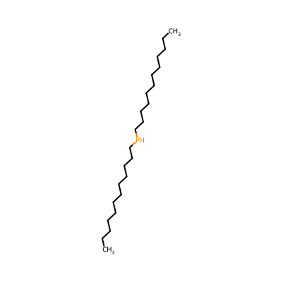 CCCCCCCCCCCCPCCCCCCCCCCCC